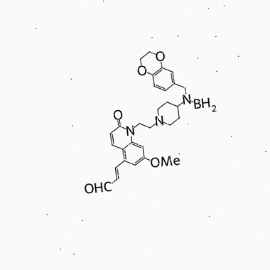 BN(Cc1ccc2c(c1)OCCO2)C1CCN(CCn2c(=O)ccc3c(/C=C/C=O)cc(OC)cc32)CC1